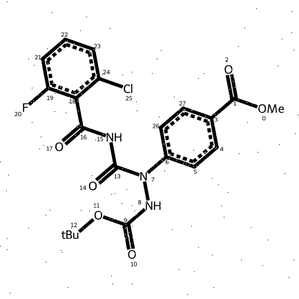 COC(=O)c1ccc(N(NC(=O)OC(C)(C)C)C(=O)NC(=O)c2c(F)cccc2Cl)cc1